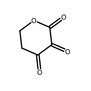 O=C1CCOC(=O)C1=O